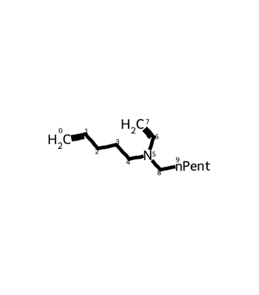 C=CCCCN(C=C)CCCCCC